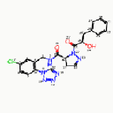 O=C(NCc1cc(Cl)ccc1-n1cnnn1)[C@@H]1CC=NN1C(=O)[C@H](O)Cc1ccccc1